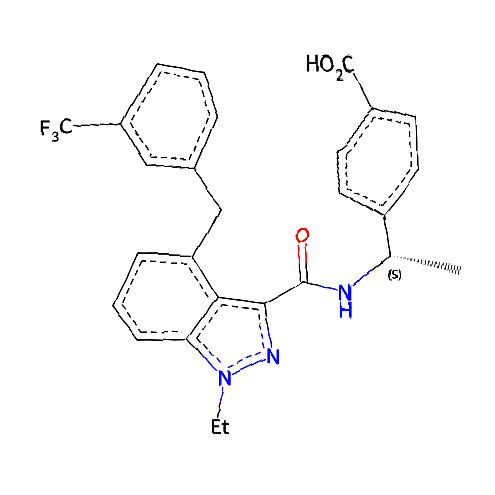 CCn1nc(C(=O)N[C@@H](C)c2ccc(C(=O)O)cc2)c2c(Cc3cccc(C(F)(F)F)c3)cccc21